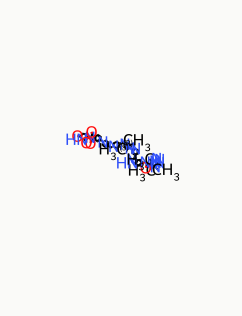 CC1=C(C(=O)Nc2ccc3[nH]nc(-c4ccnc(N5C[C@@H](C)N(CC6CCN(CC7CCN(c8ccc9c(c8)C(=O)N(C8CCC(=O)NC8=O)C9=O)CC7)CC6)[C@@H](C)C5)c4)c3c2)C(C)n2nnnc2N1C